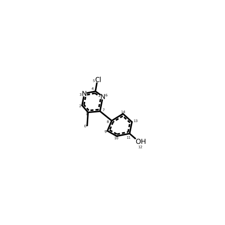 Cc1cnc(Cl)nc1-c1ccc(O)cc1